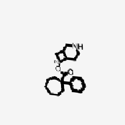 O=C(O[C@H]1CC2CNCCC21)C1(c2ccccc2)CCCCCC1